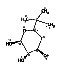 CC(C)(C)C1C[C@@H](O)[C@@H](O)[C@@H](O)O1